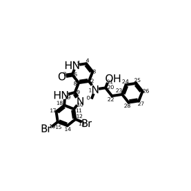 CN(c1cc[nH]c(=O)c1-c1nc2c(Br)cc(Br)cc2[nH]1)C(O)Cc1ccccc1